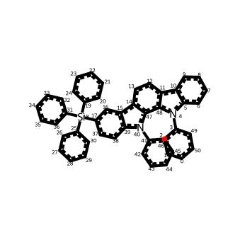 c1ccc(-n2c3ccccc3c3ccc4c5cc([Si](c6ccccc6)(c6ccccc6)c6ccccc6)ccc5n(-c5ccccc5)c4c32)cc1